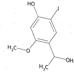 COc1cc(O)c(I)cc1C(C)O